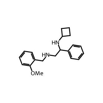 COc1ccccc1CNCC(NC1CCC1)c1ccccc1